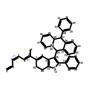 C=C/C=C\C=C(/C)C1=Cc2c(sc(-c3ccccc3)c2C2c3ccccc3C(c3ccccc3)C3C=CC=CN23)CC1